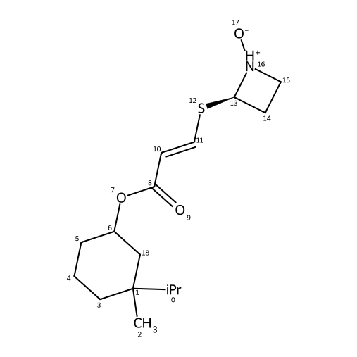 CC(C)C1(C)CCCC(OC(=O)C=CS[C@@H]2CC[NH+]2[O-])C1